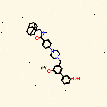 CC(C)Oc1cc(CN2CCN(c3ccc(C(=O)N(C)CC45CC6CC(CC(C6)C4)C5)cc3)CC2)cc(-c2cccc(O)c2)c1